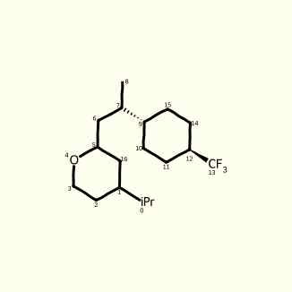 CC(C)C1CCOC(CC(C)[C@H]2CC[C@H](C(F)(F)F)CC2)C1